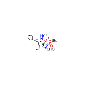 C=Cc1cc(OCc2ccccc2)c(NC(=O)C(F)(F)F)c(F)c1C[C@@H](C=O)NC(=O)OC(C)(C)C